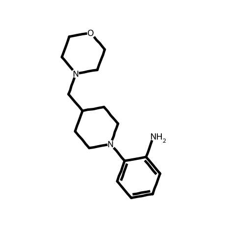 Nc1ccccc1N1CCC(CN2CCOCC2)CC1